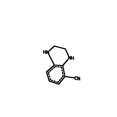 N#Cc1cccc2c1NCCN2